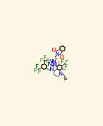 Cc1cc2c(c(C)c1C(F)(F)F)N(CC1CC1)CCCC2N(Cc1cc(C(F)(F)F)cc(C(F)(F)F)c1)c1nnn(CCN2C(=O)c3ccccc3C2=O)n1